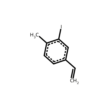 C=Cc1ccc(C)c(I)c1